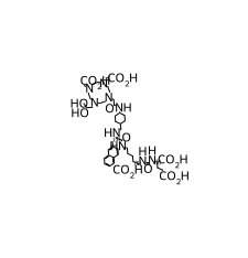 O=C(O)CC[C@H](NC(=O)N[C@@H](CCCCNC(=O)[C@H](Cc1ccc2ccccc2c1)NCC1CCC(NC(=O)CN2CCN(CC(=O)O)CCN(CC(=O)O)CCN(CC(O)O)CC2)CC1)C(=O)O)C(=O)O